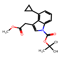 COC(=O)Cc1cn(C(=O)OC(C)(C)C)c2cccc(C3CC3)c12